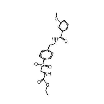 CCOC(=O)NCS(=O)(=O)c1ccc(CCNC(=O)c2cccc(OC)c2)cc1